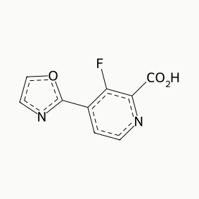 O=C(O)c1nccc(-c2ncco2)c1F